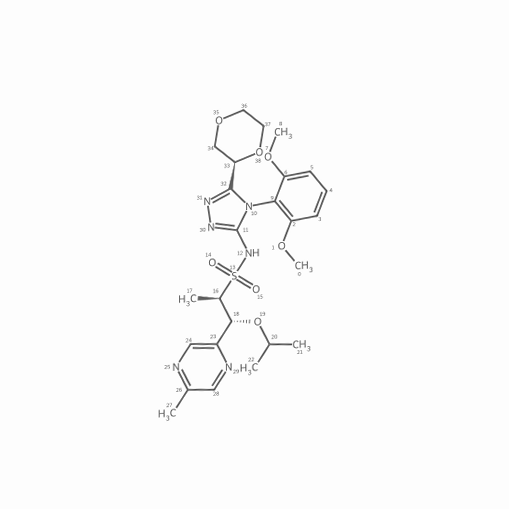 COc1cccc(OC)c1-n1c(NS(=O)(=O)[C@H](C)[C@H](OC(C)C)c2cnc(C)cn2)nnc1[C@H]1COCCO1